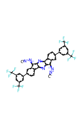 [C-]#[N+]/N=c1/c2cc(-c3cc(C(F)(F)F)cc(C(F)(F)F)c3)ccc2c2nc3/c(=N/[N+]#[C-])c4cc(-c5cc(C(F)(F)F)cc(C(F)(F)F)c5)ccc4c3nc12